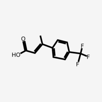 CC(=CC(=O)O)c1ccc(C(F)(F)F)cc1